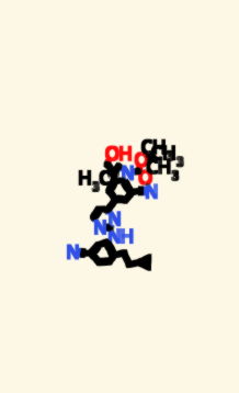 CC(C)(C)OC(=O)N1C[C@](C)(CO)c2cc(-c3ccnc(Nc4cc(C#N)ccc4CCC4CC4)n3)cc(C#N)c21